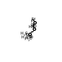 COc1cc(C=Cc2cccc(NS(=O)(=O)c3cccc(C(F)(F)F)c3)c2)cc(OC)c1OC